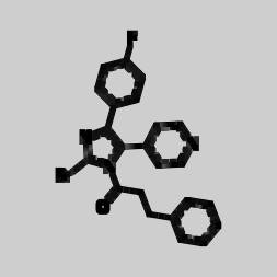 O=C(CCc1ccccc1)n1c(Br)nc(-c2ccc(F)cc2)c1-c1ccncc1